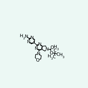 CC(C)(C)OC(=O)N1Cc2nc(-c3cnc(N)nc3)nc(N3CCOCC3)c2C1